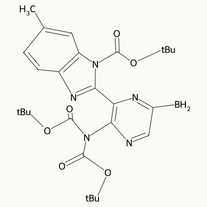 Bc1cnc(N(C(=O)OC(C)(C)C)C(=O)OC(C)(C)C)c(-c2nc3ccc(C)cc3n2C(=O)OC(C)(C)C)n1